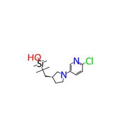 CC(C)(C[C@@H]1CCN(c2ccc(Cl)nc2)C1)[Si](C)(C)O